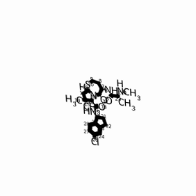 CNC(C)C(=O)N[C@H]1CCS[C@H]2CC(C)(C)[C@@H](C(=O)N[C@@H]3CCc4cc(Cl)ccc43)N2C1=O